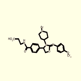 CC(=O)N1CCC(N2/C(=N/c3ccc(OC(F)(F)F)cc3)OCC2c2ccc(C(=O)NCCC(=O)O)cc2)CC1